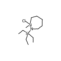 CC[Si](CC)(CC)N1CCCCC[Si]1(C)Cl